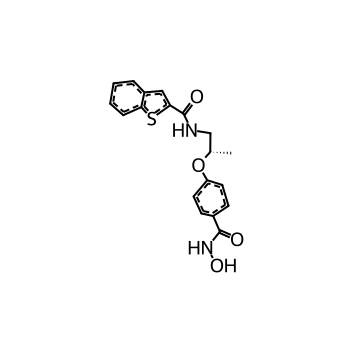 C[C@@H](CNC(=O)c1cc2ccccc2s1)Oc1ccc(C(=O)NO)cc1